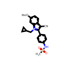 COc1ccc2c(C#N)c(-c3ccc(NS(C)(=O)=O)cc3)n(CC3CC3)c2c1